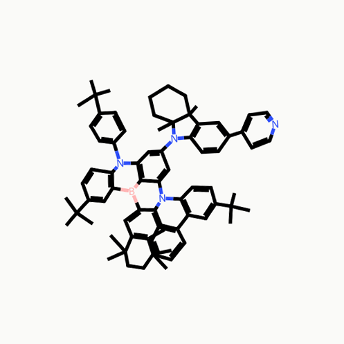 CC(C)(C)c1ccc(N2c3ccc(C(C)(C)C)cc3B3c4cc5c(cc4N(c4ccc(C(C)(C)C)cc4-c4ccccc4)c4cc(N6c7ccc(-c8ccncc8)cc7C7(C)CCCCC67C)cc2c43)C(C)(C)CCC5(C)C)cc1